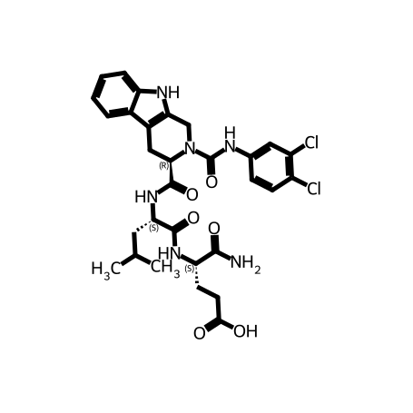 CC(C)C[C@H](NC(=O)[C@H]1Cc2c([nH]c3ccccc23)CN1C(=O)Nc1ccc(Cl)c(Cl)c1)C(=O)N[C@@H](CCC(=O)O)C(N)=O